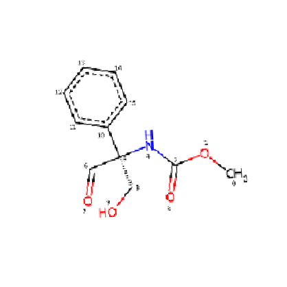 COC(=O)N[C@](C=O)(CO)c1ccccc1